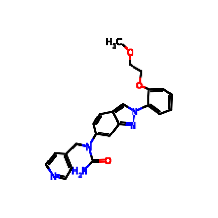 COCCOc1ccccc1-n1cc2ccc(N(Cc3ccncc3)C(N)=O)cc2n1